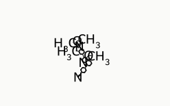 COc1c(-c2ccc(N3C[C@@H](C)O[C@@H](C)C3)c(C)c2)cnc2c(-c3ccc(C#N)cc3)cccc12